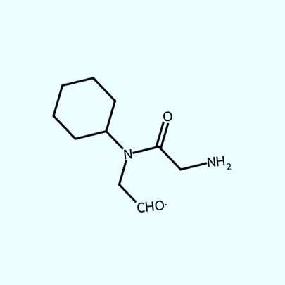 NCC(=O)N(C[C]=O)C1CCCCC1